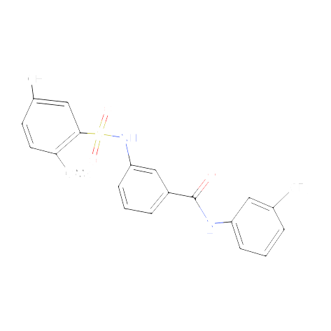 COc1ccc(C)cc1S(=O)(=O)Nc1cccc(C(=O)Nc2cccc(C(F)(F)F)c2)c1